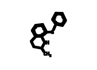 CC1CCc2cccc(Sc3ccccc3)c2N1